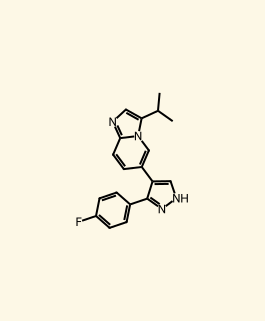 CC(C)c1cnc2ccc(-c3c[nH]nc3-c3ccc(F)cc3)cn12